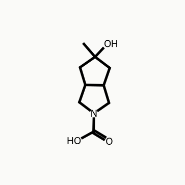 CC1(O)CC2CN(C(=O)O)CC2C1